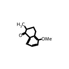 COc1cccc2c1CCC(C)C2=O